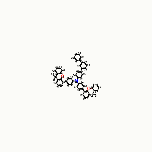 CC1(C)c2ccccc2Oc2c(-c3ccc(N(c4ccc(-c5cccc(-c6ccccc6)c5)cc4)c4ccc(-c5cccc6c5Oc5ccccc5C6(C)C)cc4)cc3)cccc21